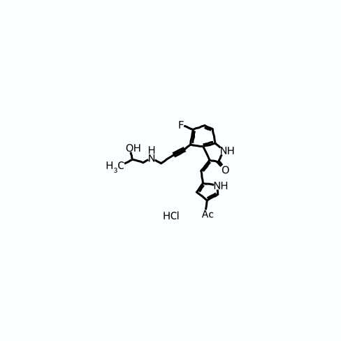 CC(=O)c1c[nH]c(/C=C2\C(=O)Nc3ccc(F)c(C#CCNCC(C)O)c32)c1.Cl